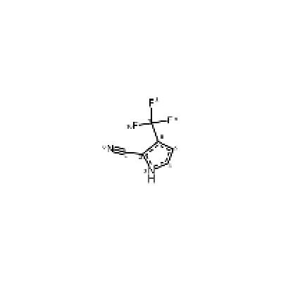 N#Cc1[nH]ccc1C(F)(F)F